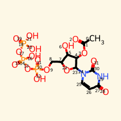 CC(=O)OC1C(O)C(COP(=O)(O)OP(=O)(O)OP(=O)(O)O)OC1n1ccc(=O)[nH]c1=O